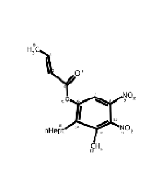 C/C=C/C(=O)Oc1cc([N+](=O)[O-])c([N+](=O)[O-])c(C)c1CCCCCCC